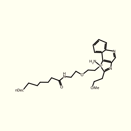 CCCCCCCCCCCCCCCC(=O)NCCOCC[N+]1(N)C(CCOC)=Nc2cnc3ccccc3c21